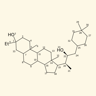 CCC1(O)CCC2(C)C(CCC3C2CCC2(C)C3CCC2[C@H](C)[C@@H](O)CC2CCC(C)(C)CC2)C1